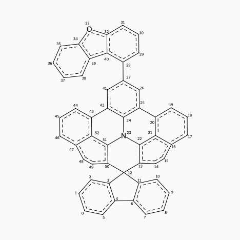 c1ccc2c(c1)-c1ccccc1C21c2ccc3cccc4c3c2N2c3c-4cc(-c4cccc5oc6ccccc6c45)cc3-c3cccc4ccc1c2c34